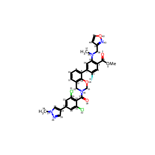 COC(=O)c1cc(F)c(-c2cccc3c2OCN(C(=O)c2c(Cl)cc(-c4cnn(C)c4)cc2Cl)C3)cc1N(C)Cc1ccon1